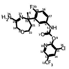 C[C@@]1(c2cc(NC(=O)Oc3ncc(C(F)(F)F)cc3Cl)ccc2F)CCOCC(N)=N1